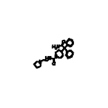 NC(=O)C(c1ccccc1)(c1ccccc1)C1CCN(C(=O)NCCN2CCCC2)CC1